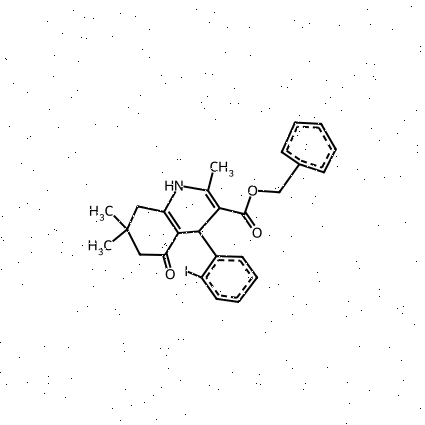 CC1=C(C(=O)OCc2ccccc2)C(c2ccccc2I)C2=C(CC(C)(C)CC2=O)N1